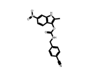 Cc1[nH]c2cc([N+](=O)[O-])ccc2c1OC(=O)NCc1ccc(C#N)cc1